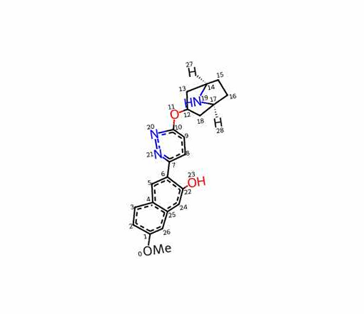 COc1ccc2cc(-c3ccc(OC4C[C@H]5CC[C@@H](C4)N5)nn3)c(O)cc2c1